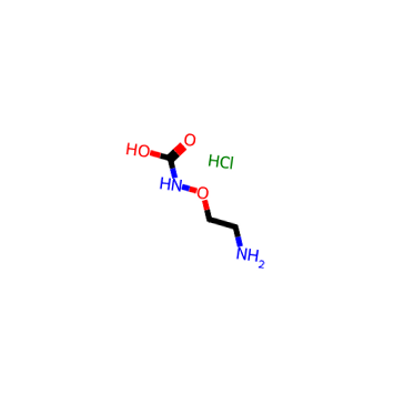 Cl.NCCONC(=O)O